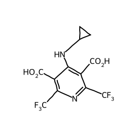 O=C(O)c1c(C(F)(F)F)nc(C(F)(F)F)c(C(=O)O)c1NC1CC1